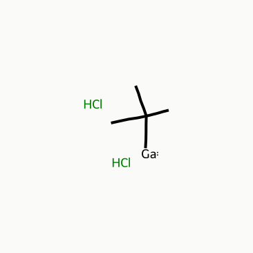 C[C](C)(C)[Ga].Cl.Cl